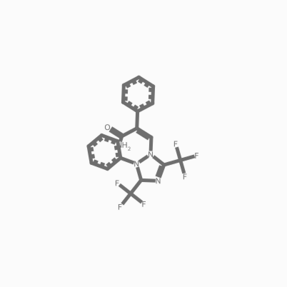 NC(=O)C(=CN1C(C(F)(F)F)=NC(C(F)(F)F)N1c1ccccc1)c1ccccc1